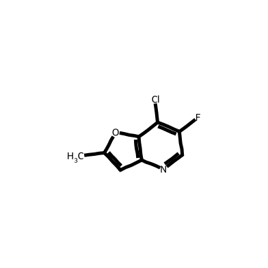 Cc1cc2ncc(F)c(Cl)c2o1